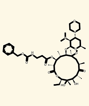 CC[C@H]1OC(=O)[C@H](C)[C@@H](OC(=O)CCNC(=O)OCc2ccccc2)[C@H](C)[C@@H](O[C@@H]2O[C@H](C)C[C@@H](N3CCOCC3)[C@@H]2N(C)C)[C@@](C)(OC)C[C@@H](C)C(=O)[C@H](C)[C@@H](O)[C@]1(C)O